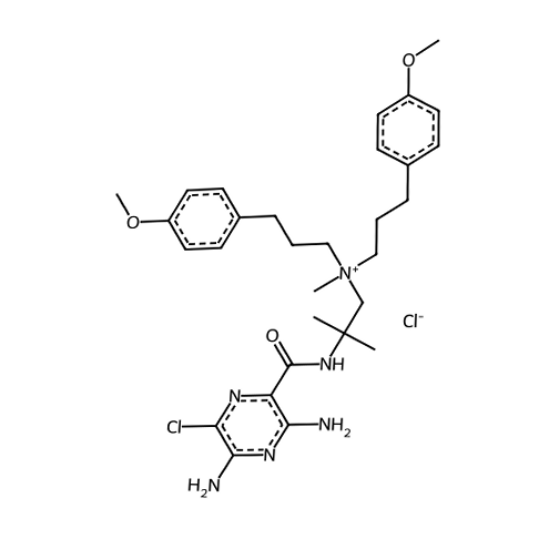 COc1ccc(CCC[N+](C)(CCCc2ccc(OC)cc2)CC(C)(C)NC(=O)c2nc(Cl)c(N)nc2N)cc1.[Cl-]